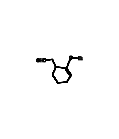 CCOC1=CCCCC1CC=O